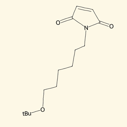 CC(C)(C)OCCCCCCN1C(=O)C=CC1=O